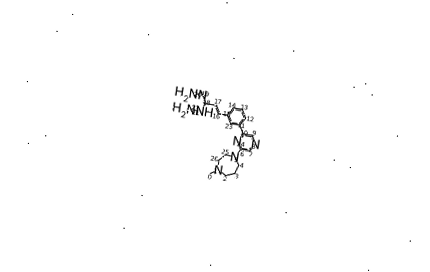 CN1CCCN(c2cncc(-c3cccc(/C=C/C(=N/N)NN)c3)n2)CC1